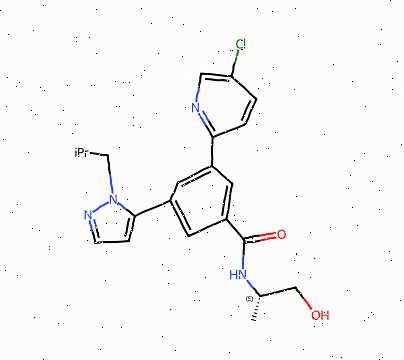 CC(C)Cn1nccc1-c1cc(C(=O)N[C@@H](C)CO)cc(-c2ccc(Cl)cn2)c1